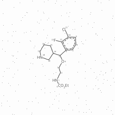 CCOC(=O)NCCOC(c1cccc(Cl)c1F)C1CCCNC1